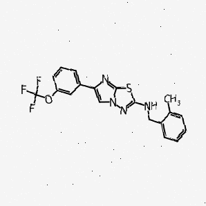 Cc1ccccc1CNc1nn2cc(-c3cccc(OC(F)(F)F)c3)nc2s1